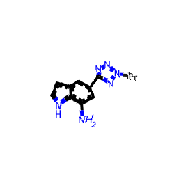 CC(C)n1nnc(-c2cc(N)c3[nH]ccc3c2)n1